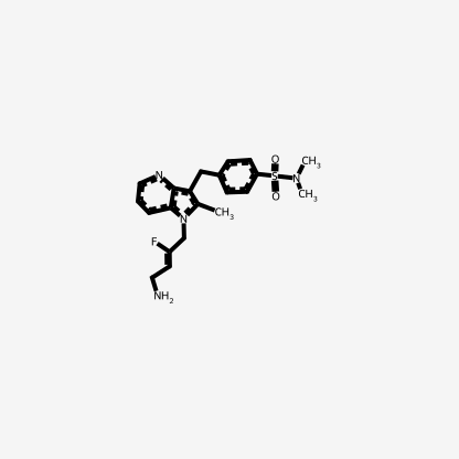 Cc1c(Cc2ccc(S(=O)(=O)N(C)C)cc2)c2ncccc2n1CC(F)=CCN